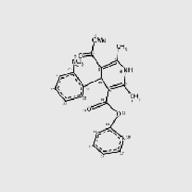 COC(=O)C1=C(C)NC(C)=C(C(=O)Oc2ccccn2)C1c1ccccc1[N+](=O)[O-]